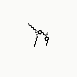 CCCCCCCOc1ccc(C=CC(=S)c2ccc(CCC)cc2)cc1OCCCCCCC